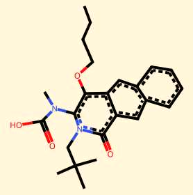 CCCCOc1c(N(C)C(=O)O)n(CC(C)(C)C)c(=O)c2cc3ccccc3cc12